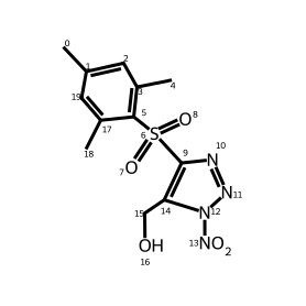 Cc1cc(C)c(S(=O)(=O)c2nnn([N+](=O)[O-])c2CO)c(C)c1